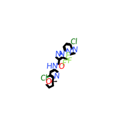 C[C@@]1(c2ncc(NC(=O)c3cnn(-c4ccc(Cl)c5nccn45)c3C(F)(F)F)cc2Cl)CCCO1